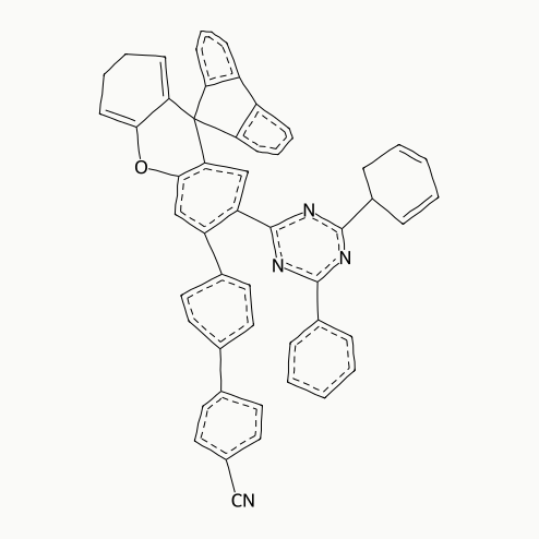 N#Cc1ccc(-c2ccc(-c3cc4c(cc3-c3nc(-c5ccccc5)nc(C5C=CC=CC5)n3)C3(C5=CCCC=C5O4)c4ccccc4-c4ccccc43)cc2)cc1